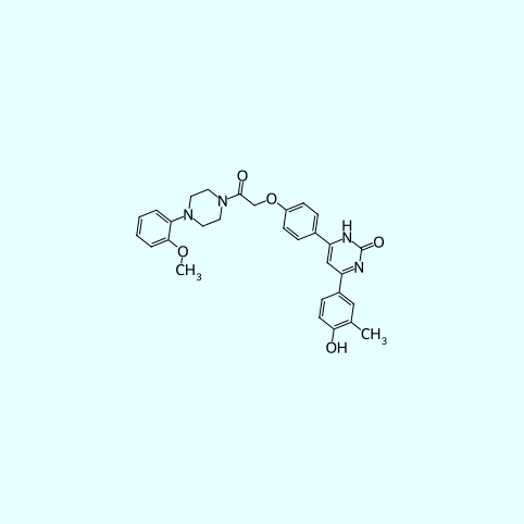 COc1ccccc1N1CCN(C(=O)COc2ccc(-c3cc(-c4ccc(O)c(C)c4)nc(=O)[nH]3)cc2)CC1